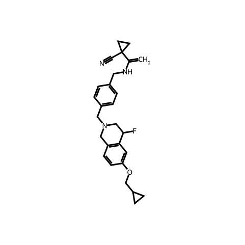 C=C(NCc1ccc(CN2Cc3ccc(OCC4CC4)cc3C(F)C2)cc1)C1(C#N)CC1